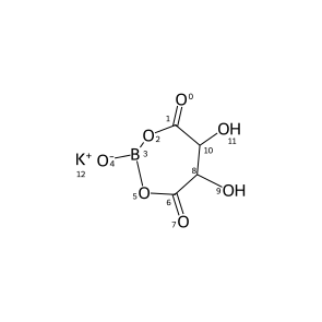 O=C1OB([O-])OC(=O)C(O)C1O.[K+]